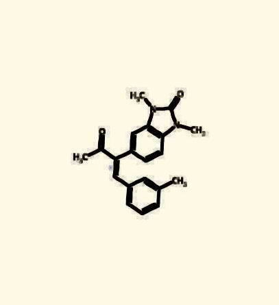 CC(=O)/C(=C/c1cccc(C)c1)c1ccc2c(c1)n(C)c(=O)n2C